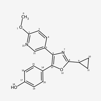 COc1ccc(-c2nc(C3CC3)oc2-c2ccc(O)cc2)cn1